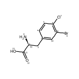 N[C@@H](Cc1ccc(Cl)c(Br)c1)C(=O)O